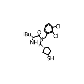 CC[C@H](C)[C@H](N)C(=O)N(Cc1cccc(Cl)c1Cl)C[C@H]1CC[C@@H](S)C1